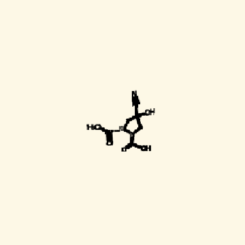 N#CC1(O)C[C@@H](C(=O)O)N(C(=O)O)C1